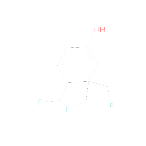 OC1=CC(CF)(CF)C(CF)C=C1